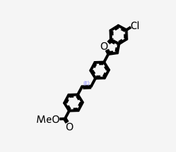 COC(=O)c1ccc(/C=C/c2ccc(-c3cc4cc(Cl)ccc4o3)cc2)cc1